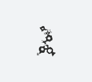 O=C(c1cccc(S(=O)(=O)NC2CCC2)c1)N1CC2(CCC3(CC3)CC2)c2cc(Br)ccc21